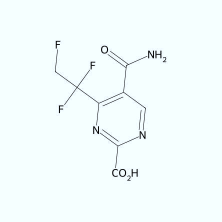 NC(=O)c1cnc(C(=O)O)nc1C(F)(F)CF